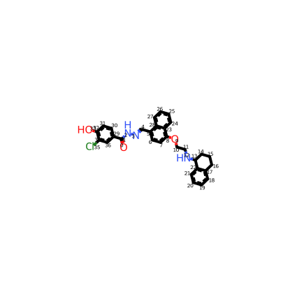 O=C(N/N=C/c1ccc(OCCNC2CCCc3ccccc32)c2ccccc12)c1ccc(O)c(Cl)c1